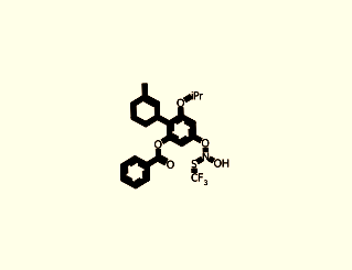 CC1=CC(c2c(OC(=O)c3ccccc3)cc(ON(O)SC(F)(F)F)cc2OC(C)C)CCC1